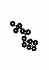 c1ccc(-n2c3ccccc3c3c(-c4ccc5c(c4)c4ccccc4n5-c4ccc5c6ccccc6n(-c6cccc([Si](c7ccccc7)(c7ccccc7)c7ccccc7)c6)c5c4)cccc32)cc1